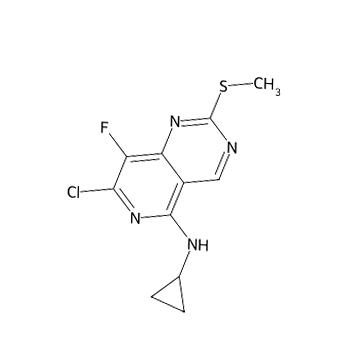 CSc1ncc2c(NC3CC3)nc(Cl)c(F)c2n1